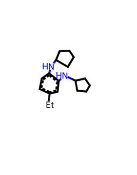 CCc1ccc(NC2CCCC2)c(NC2CCCC2)c1